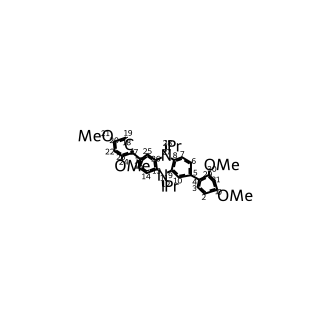 COc1ccc(-c2ccc3c(c2)N(C(C)C)c2ccc(-c4ccc(OC)cc4OC)cc2N3C(C)C)c(OC)c1